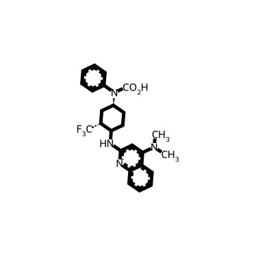 CN(C)c1cc(NC2CC[C@@H](N(C(=O)O)c3ccccc3)C[C@H]2C(F)(F)F)nc2ccccc12